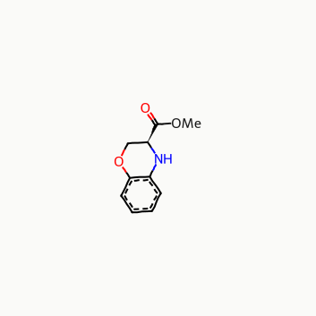 COC(=O)[C@@H]1COc2ccccc2N1